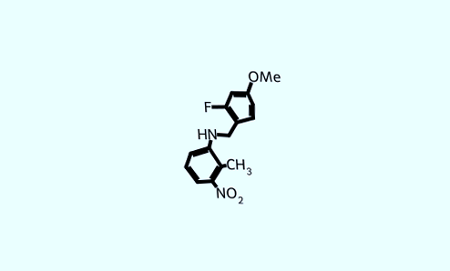 COc1ccc(CNc2cccc([N+](=O)[O-])c2C)c(F)c1